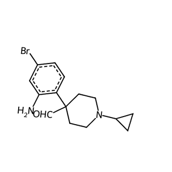 Nc1cc(Br)ccc1C1(C=O)CCN(C2CC2)CC1